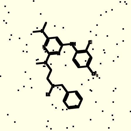 CCN(CCN(C)c1nc(Nc2ccc(C(F)(F)F)cc2Cl)cc(N(C)C)n1)Cc1ccccc1